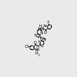 Nc1ccc(Cl)cc1C(=O)Nc1ncc2ncn(-n3cnc4cnc(NC(=O)c5cccc(F)c5N)nc43)c2n1